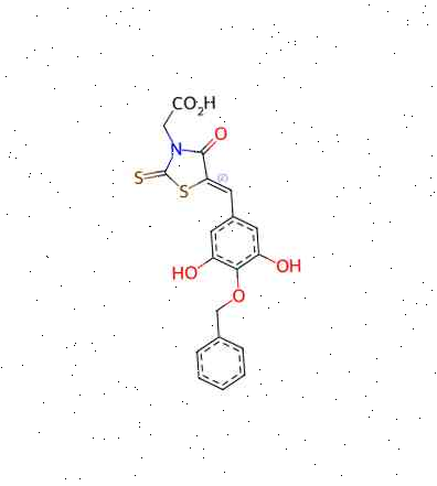 O=C(O)CN1C(=O)/C(=C/c2cc(O)c(OCc3ccccc3)c(O)c2)SC1=S